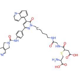 N[C@@H](CSC(CC(=O)O)C(=O)NCC(=O)NCCCCCCn1nc(-c2ccc(NC(=O)N3Cc4ccncc4C3)cc2)cc(-c2cccc3ncccc23)c1=O)C(=O)O